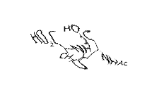 CC(=O)N[C@@H](CC(=O)O)C(=O)N[C@@H](C)C(=O)O